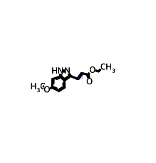 CCOC(=O)/C=C/c1n[nH]c2cc(OC)ccc12